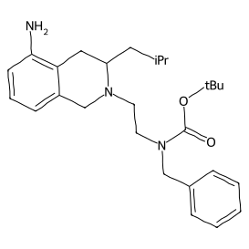 CC(C)CC1Cc2c(N)cccc2CN1CCN(Cc1ccccc1)C(=O)OC(C)(C)C